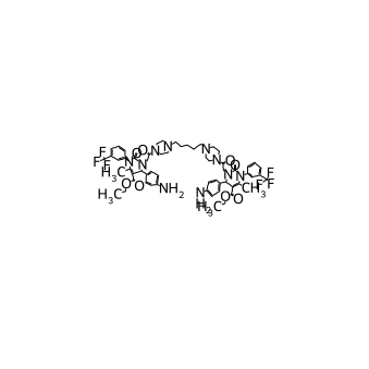 CCOC(=O)C1=C(C)N(c2cccc(C(F)(F)F)c2)C(=O)N(CC(=O)N2CCN(CCCCCN3CCN(C(=O)CN4C(=O)N(c5cccc(C(F)(F)F)c5)C(C)=C(C(=O)OCC)C4c4ccc(N)cc4)CC3)CC2)C1c1ccc(N)cc1